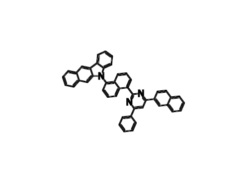 c1ccc(-c2cc(-c3ccc4ccccc4c3)nc(-c3cccc4c(-n5c6ccccc6c6cc7ccccc7cc65)cccc34)n2)cc1